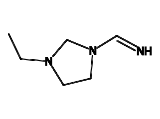 CCN1CCN(C=N)C1